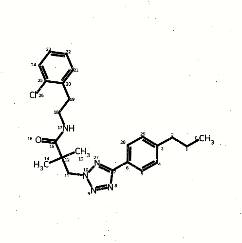 CCCc1ccc(-c2nnn(CC(C)(C)C(=O)NCCc3ccccc3Cl)n2)cc1